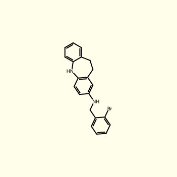 Brc1ccccc1CNc1ccc2c(c1)CCc1ccccc1N2